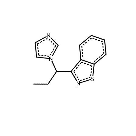 CCC(c1nsc2ccccc12)n1ccnc1